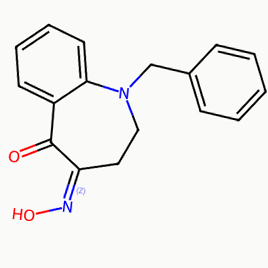 O=C1/C(=N\O)CCN(Cc2ccccc2)c2ccccc21